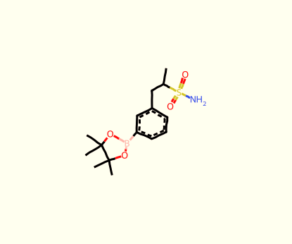 CC(Cc1cccc(B2OC(C)(C)C(C)(C)O2)c1)S(N)(=O)=O